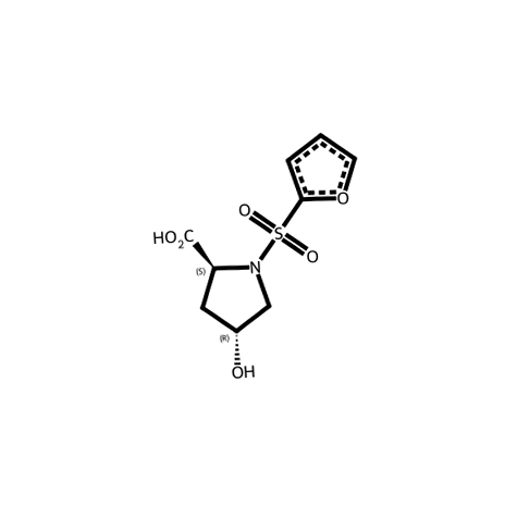 O=C(O)[C@@H]1C[C@@H](O)CN1S(=O)(=O)c1ccco1